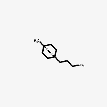 CCCCC12CCC(C)(CC1)CC2